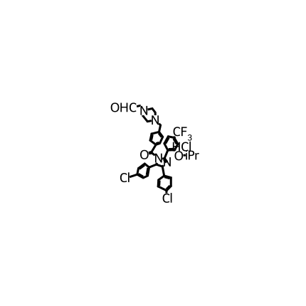 CC(C)Oc1cc(C(F)(F)F)ccc1C1=NC(c2ccc(Cl)cc2)C(c2ccc(Cl)cc2)N1C(=O)c1ccc(CN2CCN(CC=O)CC2)cc1.Cl